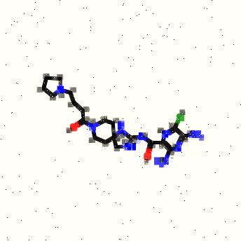 Nc1nc(N)c(C(=O)/N=C2\NCC3(CCN(C(=O)CCCN4CCCC4)CC3)N2)nc1Cl